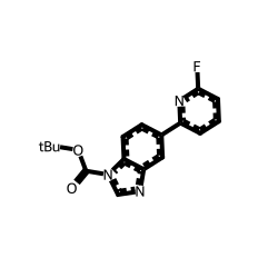 CC(C)(C)OC(=O)n1cnc2cc(-c3cccc(F)n3)ccc21